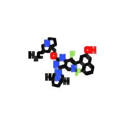 C=C1CN2CCCC2(COc2nc(N3C[C@H]4CC[C@@H](C3)N4)c3cnc(-c4cc(O)cc5cccc(F)c45)c(F)c3n2)C1